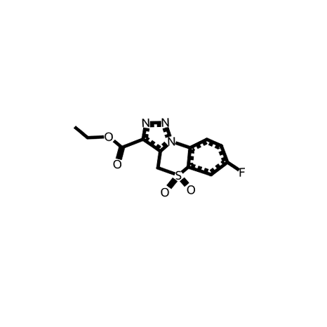 CCOC(=O)c1nnn2c1CS(=O)(=O)c1cc(F)ccc1-2